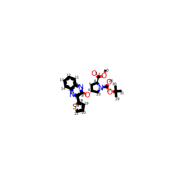 COC(=O)[C@@H]1C[C@@H](Oc2nc3ccccc3nc2-c2cccs2)CN1C(=O)OC(C)(C)C